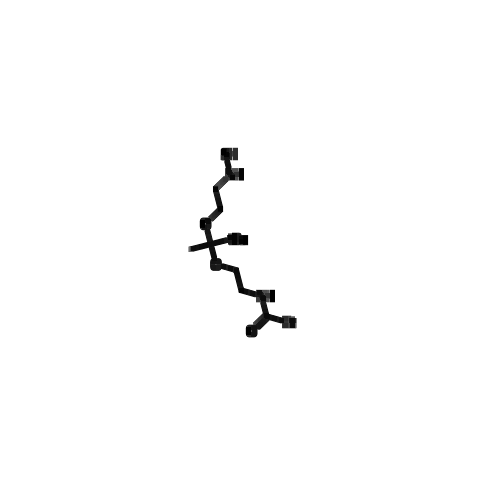 CCC(=O)NCCOC(C)(OCCNS)C(C)(C)C